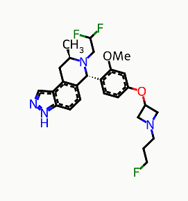 COc1cc(OC2CN(CCCF)C2)ccc1[C@@H]1c2ccc3[nH]ncc3c2C[C@@H](C)N1CC(F)F